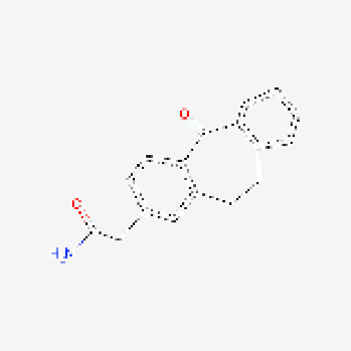 NC(=O)Cc1ccc2c(c1)CCc1ccccc1C2=O